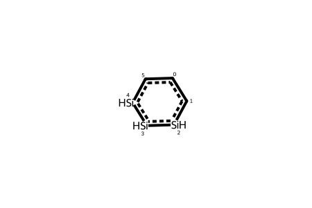 c1c[siH][siH][siH]c1